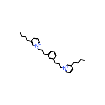 CCCCc1ccc[n+](CCCc2cccc(CCC[n+]3cccc(CCCC)c3)c2)c1